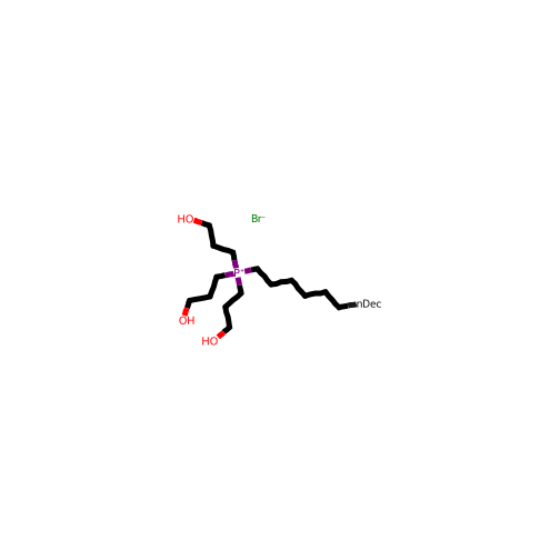 CCCCCCCCCCCCCCCC[P+](CCCO)(CCCO)CCCO.[Br-]